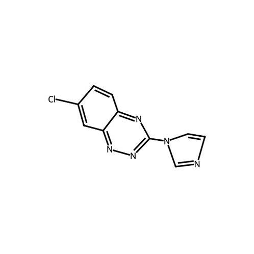 Clc1ccc2nc(-n3ccnc3)nnc2c1